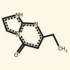 CCc1cc(=O)n2cc[nH]c2n1